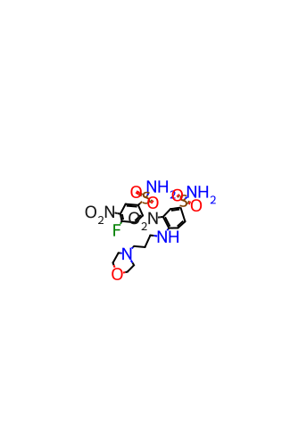 NS(=O)(=O)c1ccc(F)c([N+](=O)[O-])c1.NS(=O)(=O)c1ccc(NCCCN2CCOCC2)c([N+](=O)[O-])c1